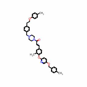 Cc1ccc(COc2ccc(Oc3ccc(/C=C/C(=O)N4CCN(Cc5ccc(CCOc6ccc(C)cc6)cc5)CC4)cc3C)nc2)cc1